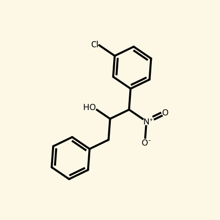 O=[N+]([O-])C(c1cccc(Cl)c1)C(O)Cc1ccccc1